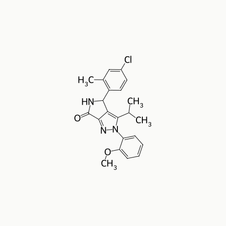 COc1ccccc1-n1nc2c(c1C(C)C)C(c1ccc(Cl)cc1C)NC2=O